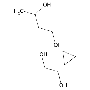 C1CC1.CC(O)CCO.OCCO